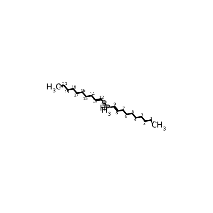 CCCCCCCC/C=C/P[PH3]/C=C/CCCCCCCC